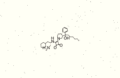 CCCCCC[C@@](O)(c1ccccc1)[C@@H]1CCCN(c2c(N[C@H](CN)CC3CCCCC3)c(=O)c2=O)C1